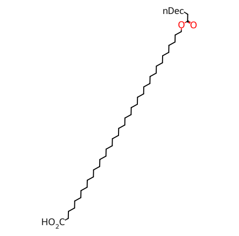 CCCCCCCCCCCC(=O)OCCCCCCCCCCCCCCCCCCCCCCCCCCCCCCCCCCCCCC(=O)O